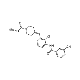 CC(C)(C)OC(=O)N1CCC(=Cc2cccc(NC(=O)c3cccc(C#N)c3)c2Cl)CC1